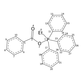 CCP(OC(=O)c1ccccc1)(c1ccccc1)(c1ccccc1)c1ccccc1